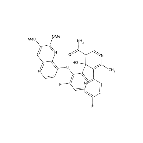 COc1cc2nccc(Oc3c(F)cccc3C3(O)C(c4ccc(F)cn4)=C(C)N=CC3C(N)=O)c2nc1OC